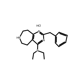 CCN(CC)c1nc(Cc2ccccc2)nc2c1CCNCC2.Cl